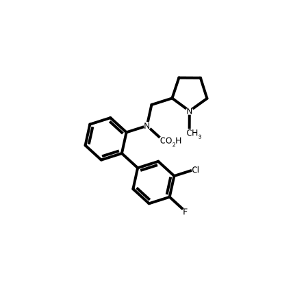 CN1CCCC1CN(C(=O)O)c1ccccc1-c1ccc(F)c(Cl)c1